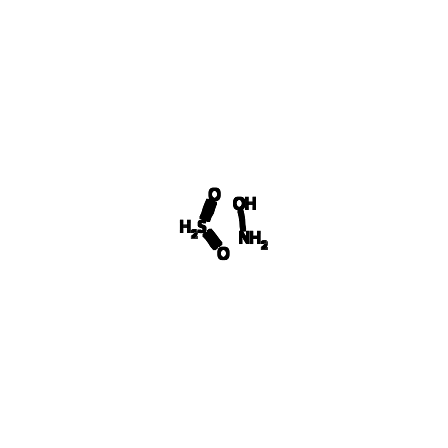 NO.O=[SH2]=O